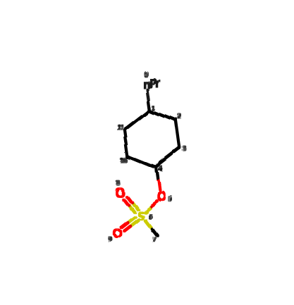 CCCC1CCC(OS(C)(=O)=O)CC1